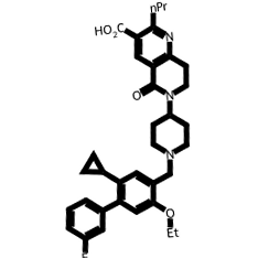 CCCc1nc2c(cc1C(=O)O)C(=O)N(C1CCN(Cc3cc(C4CC4)c(-c4cccc(F)c4)cc3OCC)CC1)CC2